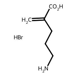 Br.C=C(CCCN)C(=O)O